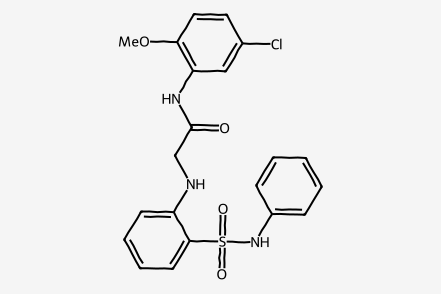 COc1ccc(Cl)cc1NC(=O)CNc1ccccc1S(=O)(=O)Nc1ccccc1